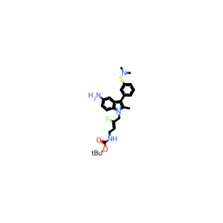 Cc1c(-c2cccc(SN(C)C)c2)c2cc(N)ccc2n1C/C(F)=C/CNC(=O)OC(C)(C)C